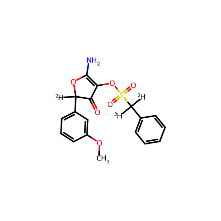 [2H]C1(c2cccc(OC)c2)OC(N)=C(OS(=O)(=O)C([2H])([2H])c2ccccc2)C1=O